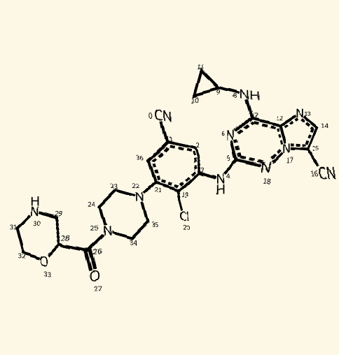 N#Cc1cc(Nc2nc(NC3CC3)c3ncc(C#N)n3n2)c(Cl)c(N2CCN(C(=O)C3CNCCO3)CC2)c1